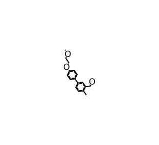 COCCOc1ccc(-c2ccc(C)c(C=O)c2)cc1